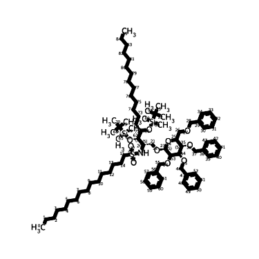 CCCCCCCCCCCCCCCCS(=O)(=O)N[C@@H](CO[C@H]1OC(COCc2ccccc2)[C@H](OCc2ccccc2)[C@@H](OCc2ccccc2)C1OCc1ccccc1)[C@H](O[Si](C)(C)C(C)(C)C)[C@@H](CCCCCCCCCCCCCC)O[Si](C)(C)C(C)(C)C